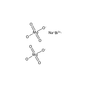 [Bi+3].[Na+].[O]=[Mo](=[O])([O-])[O-].[O]=[Mo](=[O])([O-])[O-]